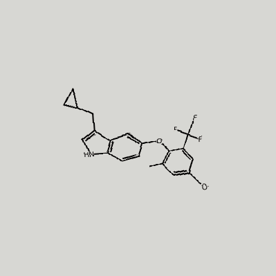 Cc1cc([O])cc(C(F)(F)F)c1Oc1ccc2[nH]cc(CC3CC3)c2c1